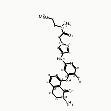 COCCN(C)C(=O)Cn1cc(Nc2cc(Nc3cccc4c3C(=O)N(C)CC4)c(F)cn2)cn1